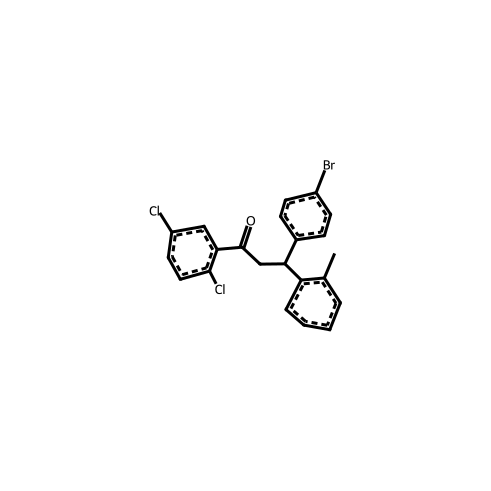 Cc1ccccc1C(CC(=O)c1cc(Cl)ccc1Cl)c1ccc(Br)cc1